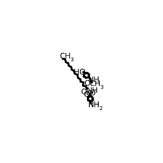 CC(=O)Nc1ccc(O)cc1.CCCCCCCCCCCCCCCCCC(=O)NS(=O)(=O)c1ccc(N)cc1